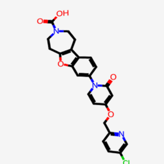 O=C(O)N1CCc2oc3cc(-n4ccc(OCc5ccc(Cl)cn5)cc4=O)ccc3c2CC1